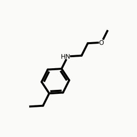 CCc1ccc(NCCOC)cc1